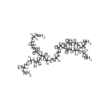 CCC(C)(CN)COCC(C)(C)CNC(=O)OCC(C)(COC(=O)NCC(C)(C)COCC(C)(C)CN)C(=O)OC(C)(C)CCOC(C)(C)CCOC(=O)C(C)(COC(=O)NCC(C)(C)COCC(C)(C)CN)COC(=O)NCC(C)(C)COCC(C)(C)CN